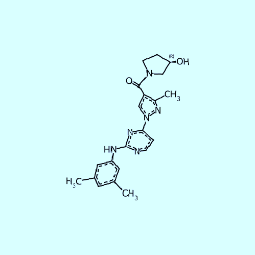 Cc1cc(C)cc(Nc2nccc(-n3cc(C(=O)N4CC[C@@H](O)C4)c(C)n3)n2)c1